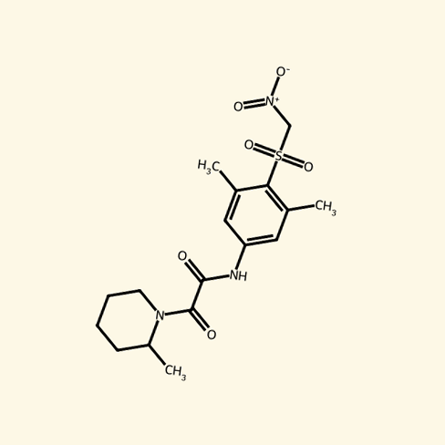 Cc1cc(NC(=O)C(=O)N2CCCCC2C)cc(C)c1S(=O)(=O)C[N+](=O)[O-]